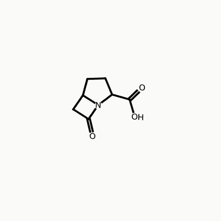 O=C(O)C1CCC2CC(=O)N21